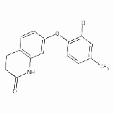 O=C1CCc2ccc(Oc3ccc(C(F)(F)F)cc3Cl)cc2N1